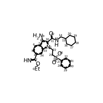 CCOC(=N)c1ccc2c(N)c(C(=O)NCC3CCCCC3)n(CCS(=O)(=O)c3ccccc3)c2c1